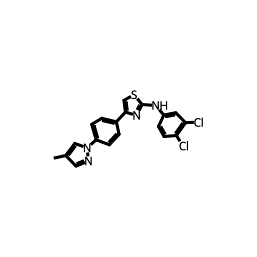 Cc1cnn(-c2ccc(-c3csc(Nc4ccc(Cl)c(Cl)c4)n3)cc2)c1